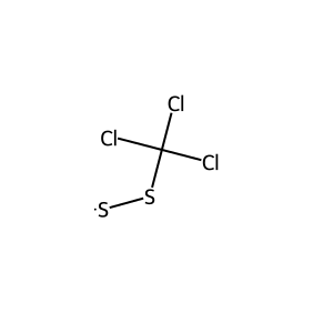 [S]SC(Cl)(Cl)Cl